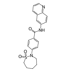 O=C(Nc1ccc2ncccc2c1)c1ccc(N2CCCCCS2(=O)=O)cc1